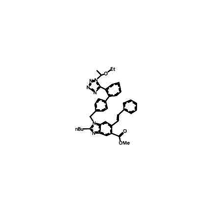 CCCCc1nc2cc(C(=O)OC)c(C=Cc3ccccc3)cc2n1Cc1ccc(-c2ccccc2-c2nnnn2C(C)OCC)cc1